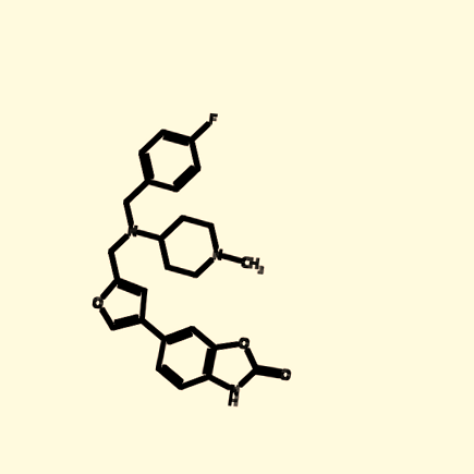 CN1CCC(N(Cc2ccc(F)cc2)Cc2cc(-c3ccc4[nH]c(=O)oc4c3)co2)CC1